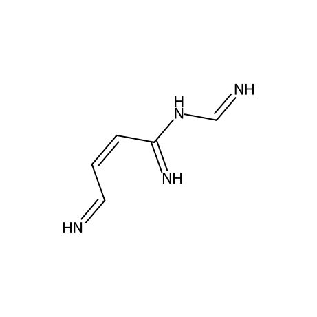 N=C/C=C\C(=N)NC=N